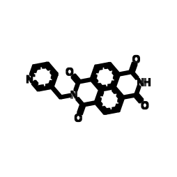 O=C1NC(=O)c2ccc3c4c(ccc1c24)C(=O)N(Cc1cccnc1)C3=O